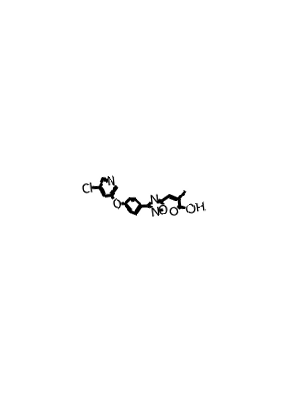 CC(=Cc1nc(-c2ccc(Oc3cncc(Cl)c3)cc2)no1)C(=O)O